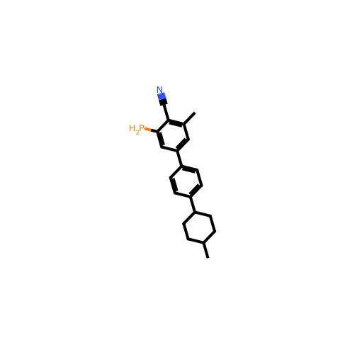 Cc1cc(-c2ccc(C3CCC(C)CC3)cc2)cc(P)c1C#N